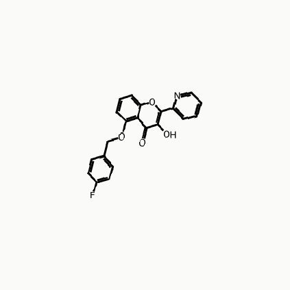 O=c1c(O)c(-c2ccccn2)oc2cccc(OCc3ccc(F)cc3)c12